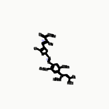 CCCCCCN(CC(CC)CCCC)c1cc(NC(C)=O)c(/N=N/c2nc(Cl)c(/C=C(\C#N)C(=O)OC)s2)cc1OC